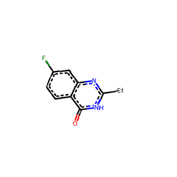 CCc1nc2cc(F)ccc2c(=O)[nH]1